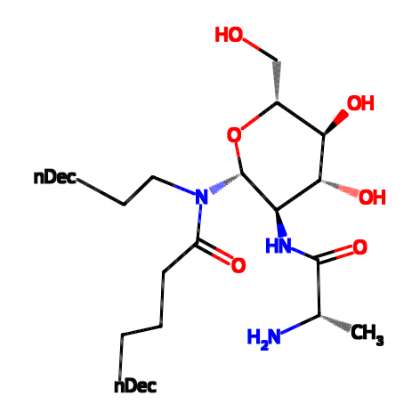 CCCCCCCCCCCCCC(=O)N(CCCCCCCCCCCC)[C@@H]1O[C@H](CO)[C@@H](O)[C@H](O)[C@H]1NC(=O)[C@H](C)N